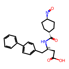 O=N[C@H]1CC[C@H](C(=O)N[C@@H](CC(=O)O)Cc2ccc(-c3ccccc3)cc2)CC1